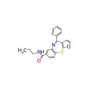 CCCNC(=O)c1ccc2c(c1)N=C(c1ccccc1)c1ccoc1S2